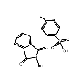 Cc1ccc(S(=O)(=O)O)cc1.O=C1c2ccccc2C(=O)N1O